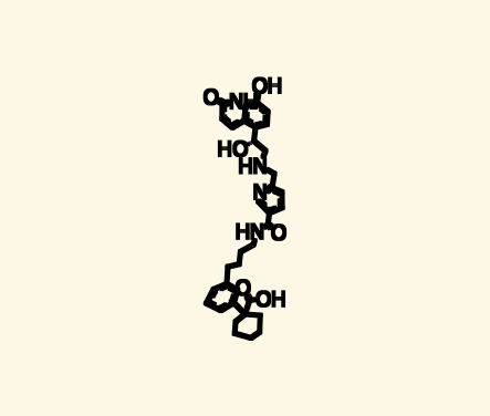 O=C(NCCCCc1cccc(C2(C(=O)O)CCCCC2)c1)c1ccc(CNC[C@H](O)c2ccc(O)c3[nH]c(=O)ccc23)nc1